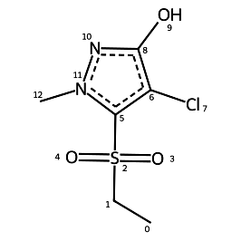 CCS(=O)(=O)c1c(Cl)c(O)nn1C